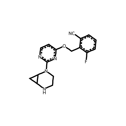 N#Cc1cccc(F)c1COc1ccnc(N2CCNC3CC32)n1